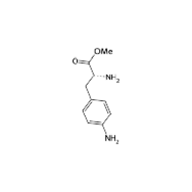 COC(=O)[C@H](N)Cc1ccc(N)cc1